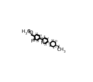 CC[C@H]1CC[C@H](c2ccc(-c3ccc(COC)c(F)c3)nc2)CC1